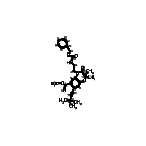 COC(=O)c1cc2c(cc1C#C[Si](C)(C)C)OC(C)(C)C(=O)N2CCNC(=O)OCc1ccccc1